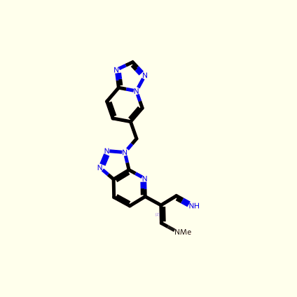 CN/C=C(\C=N)c1ccc2nnn(Cc3ccc4ncnn4c3)c2n1